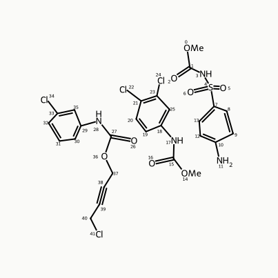 COC(=O)NS(=O)(=O)c1ccc(N)cc1.COC(=O)Nc1ccc(Cl)c(Cl)c1.O=C(Nc1cccc(Cl)c1)OCC#CCCl